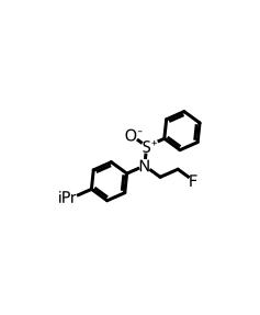 CC(C)c1ccc(N(CCF)[S+]([O-])c2ccccc2)cc1